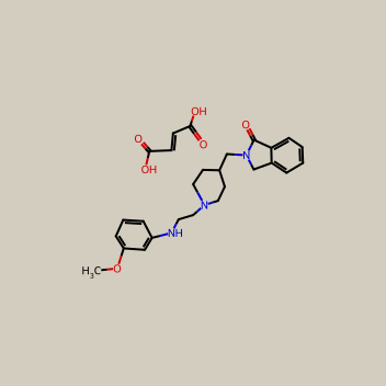 COc1cccc(NCCN2CCC(CN3Cc4ccccc4C3=O)CC2)c1.O=C(O)C=CC(=O)O